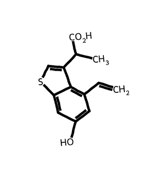 C=Cc1cc(O)cc2scc(C(C)C(=O)O)c12